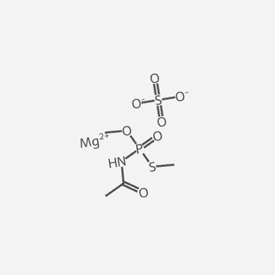 COP(=O)(NC(C)=O)SC.O=S(=O)([O-])[O-].[Mg+2]